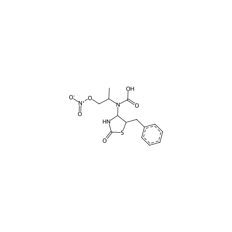 CC(CO[N+](=O)[O-])N(C(=O)O)C1NC(=O)SC1Cc1ccccc1